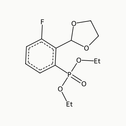 CCOP(=O)(OCC)c1cccc(F)c1C1OCCO1